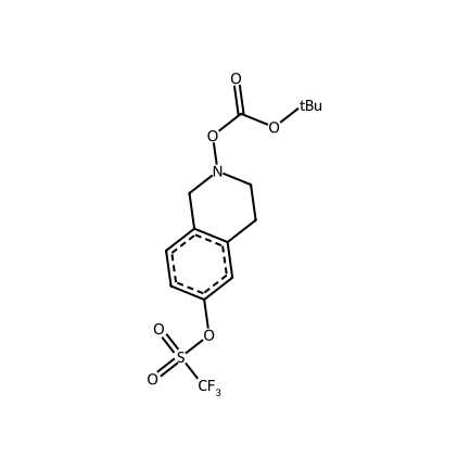 CC(C)(C)OC(=O)ON1CCc2cc(OS(=O)(=O)C(F)(F)F)ccc2C1